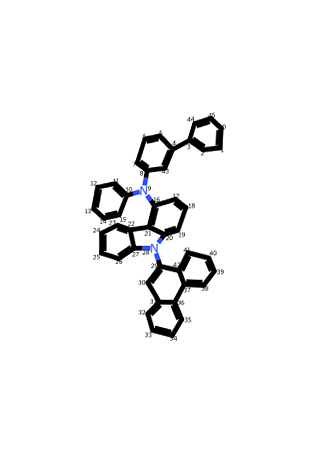 c1ccc(-c2cccc(N(c3ccccc3)c3cccc4c3c3ccccc3n4-c3cc4ccccc4c4ccccc34)c2)cc1